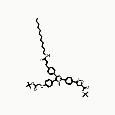 CCCCCCCCCCCCNC(=O)C=Cc1ccc(-c2nc(-c3ccc(C4=NOC(C(=O)OC(C)(C)C)C4)cc3)n(C)c2-c2ccc(OCC(=O)OC(C)(C)C)cc2)cc1